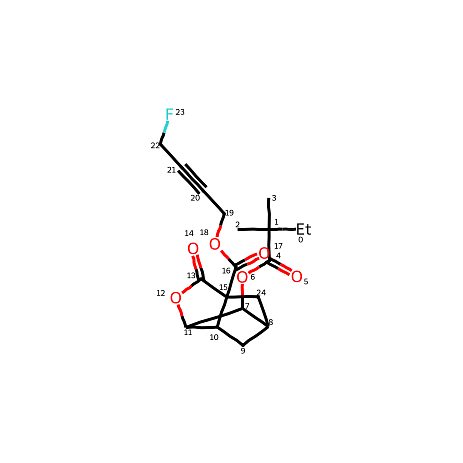 CCC(C)(C)C(=O)OC1C2CC3C1OC(=O)C3(C(=O)OCC#CCF)C2